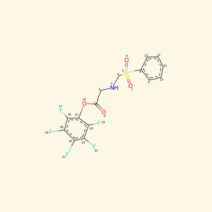 O=C(CNCS(=O)(=O)c1ccccc1)Oc1c(F)c(F)c(F)c(F)c1F